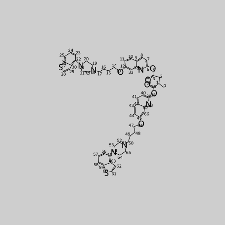 CC(CC(=O)Oc1ccc2ccc(OCCCCN3CCN(c4cccc5sccc45)CC3)cc2n1)C(=O)Oc1ccc2ccc(OCCCCN3CCN(c4cccc5sccc45)CC3)cc2n1